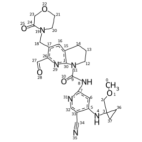 COCC1(Nc2cc(NC(=O)N3CCCc4cc(CN5CCOCC5=O)c(C=O)nc43)ncc2C#N)CC1